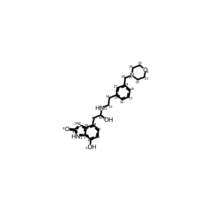 O=c1[nH]c2c(O)ccc(CC(O)NCCc3cccc(CN4CCOCC4)c3)c2s1